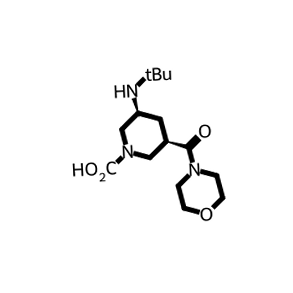 CC(C)(C)N[C@H]1C[C@@H](C(=O)N2CCOCC2)CN(C(=O)O)C1